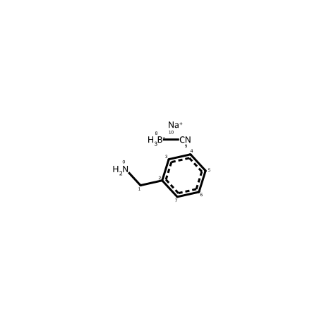 NCc1ccccc1.[BH3-]C#N.[Na+]